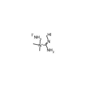 CN=C(N)[N+](C)(C)C.I.N.[I-]